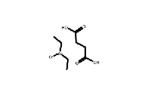 CC[S+]([O-])CC.O=C(O)CCC(=O)O